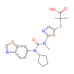 CN(C(=O)N(c1ccc2ncsc2c1)C1CCCC1)c1ncc(SC(C)(C)C(=O)O)s1